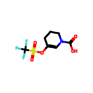 O=C(O)N1C=C(OS(=O)(=O)C(F)(F)F)CCC1